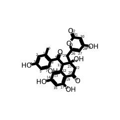 Cc1cc(O)cc(O)c1C(=O)C1c2cc(O)cc(O)c2C(=O)CC1(O)Cc1cc(O)cc(=O)o1